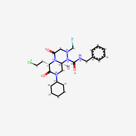 O=C1[C@H](CCCl)N2C(=O)CN(CF)N(C(=O)NCc3ccccc3)[C@H]2CN1C1CCCCC1